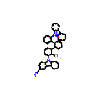 CC1C(n2c3c(c4cc(C#N)ccc42)CCC=C3)=CC=CC1c1cccc(C#N)c1-c1ccccc1-n1c2ccccc2c2ccccc21